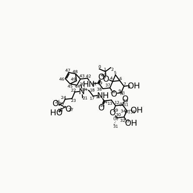 CC(C)OC12CC1C(O)[C@H](O[C@@H]1C(CC(=O)NCC[N+](C)(C)CCCS(=O)(=O)O)O[C@@H](C)C(O)[C@H]1O)OC2CC(=O)NCC1CC2C=CC1C2